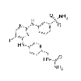 NC(=O)NCc1ccc(Nc2nc(Nc3cccc(S(N)(=O)=O)c3)ncc2F)cc1